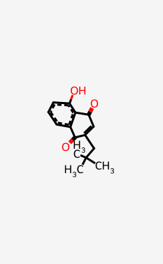 CC(C)(C)CC1=CC(=O)c2c(O)cccc2C1=O